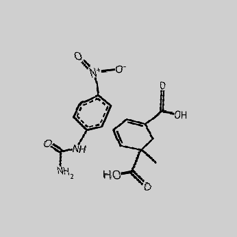 CC1(C(=O)O)C=CC=C(C(=O)O)C1.NC(=O)Nc1ccc([N+](=O)[O-])cc1